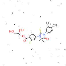 CC1(C)C(=O)N(c2ccc(C#N)c(C(F)(F)F)c2)C(=S)N1c1ccc(C(=O)OC[C@H](O)CO)c(F)c1